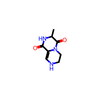 CC1NC(=O)C2=CNCCN2C1=O